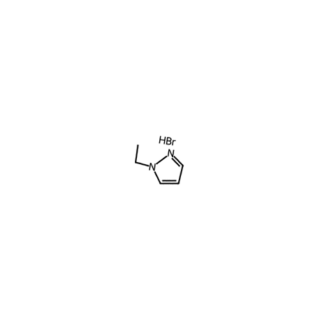 Br.CCn1cccn1